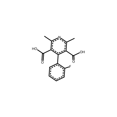 Cc1nc(C)c(C(=O)O)c(-c2ccccc2F)c1C(=O)O